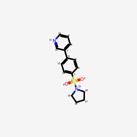 O=S(=O)(c1ccc(-c2cccnc2)cc1)N1CCCC1